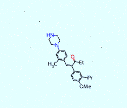 CCC(=O)/C(=C\c1ccc(N2CCNCC2)cc1C)c1ccc(OC)c(C(C)C)c1